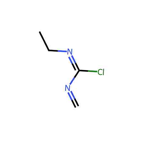 C=N/C(Cl)=N\CC